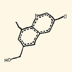 Cc1cc(CO)cc2cc(Cl)cnc12